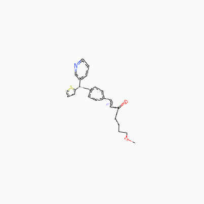 COCCCCC(=O)/C=C/c1ccc(C(c2cccnc2)c2cccs2)cc1